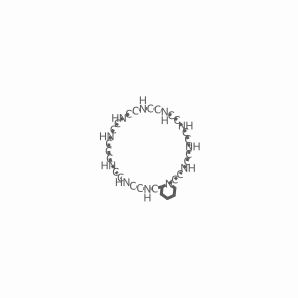 C1CNCCNCCNCCNCCNCCNCCNCCN2CCCCC2CNCCNCCNC1